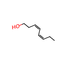 CC/C=C\C=C/CCO